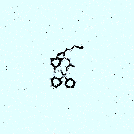 C#CCOCc1cc2ccc(Br)cc2n1CC(C)CO[Si](c1ccccc1)(c1ccccc1)C(C)(C)C